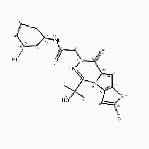 CC(C)(O)c1nn(CC(=O)N[C@@H]2CCC[C@@H](O)C2)c(=O)c2cc3sc(Cl)cc3n12